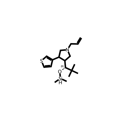 C=CCN1CC(c2ccsc2)C([C@@H](O[SiH](C)C)C(C)(C)C)C1